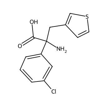 NC(Cc1ccsc1)(C(=O)O)c1cccc(Cl)c1